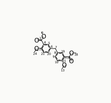 COC(=O)c1cc(Cc2ccc(OC)c(C(=O)OC)c2)ccc1OC